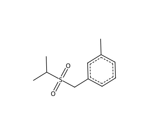 Cc1cccc(CS(=O)(=O)C(C)C)c1